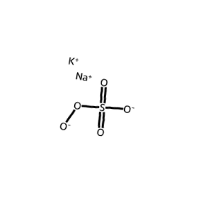 O=S(=O)([O-])O[O-].[K+].[Na+]